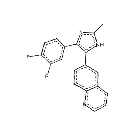 Cc1nc(-c2ccc(F)c(F)c2)c(-c2ccc3ncccc3c2)[nH]1